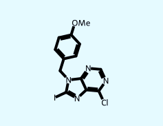 COc1ccc(Cn2c(I)nc3c(Cl)ncnc32)cc1